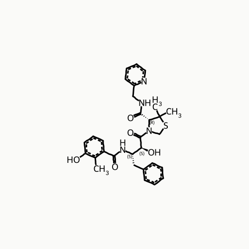 Cc1c(O)cccc1C(=O)N[C@@H](Cc1ccccc1)[C@H](O)C(=O)N1CSC(C)(C)[C@H]1C(=O)NCc1ccccn1